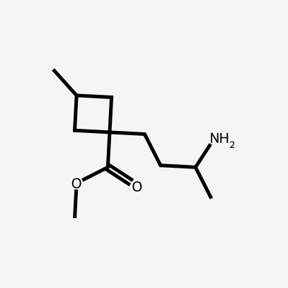 COC(=O)C1(CCC(C)N)CC(C)C1